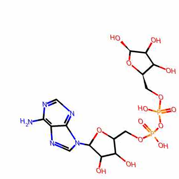 Nc1ncnc2c1ncn2C1OC(COP(=O)(O)OP(=O)(O)OC[C@H]2O[C@@H](O)C(O)C2O)C(O)C1O